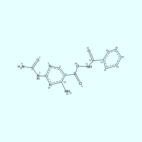 NC(=O)Nc1ncc(C(=O)ONC(=O)c2ccccc2)c(N)n1